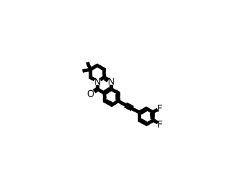 CC1(C)CCc2nc3cc(C#Cc4ccc(F)c(F)c4)ccc3c(=O)n2C1